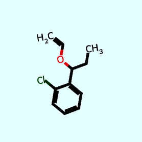 C=COC(CC)c1ccccc1Cl